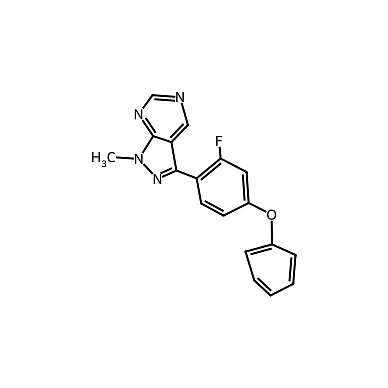 Cn1nc(-c2ccc(Oc3ccccc3)cc2F)c2cncnc21